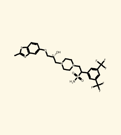 Cc1nc2cc(OC[C@H](O)CN3CCN(CC(c4cc(C(F)(F)F)cc(C(F)(F)F)c4)S(N)(=O)=O)CC3)ccc2s1